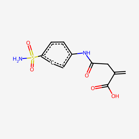 C=C(CC(=O)Nc1ccc(S(N)(=O)=O)cc1)C(=O)O